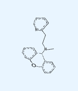 CN(CCc1ccccn1)C1c2ccccc2Oc2ccccc21